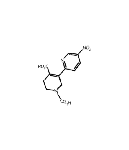 O=C(O)C1=C(c2ccc([N+](=O)[O-])cn2)CN(C(=O)O)CC1